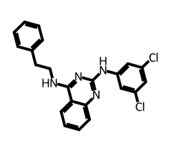 Clc1cc(Cl)cc(Nc2nc(NCCc3ccccc3)c3ccccc3n2)c1